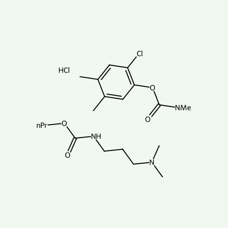 CCCOC(=O)NCCCN(C)C.CNC(=O)Oc1cc(C)c(C)cc1Cl.Cl